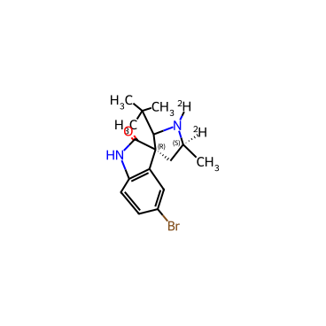 [2H]N1C(C(C)(C)C)[C@]2(C[C@]1([2H])C)C(=O)Nc1ccc(Br)cc12